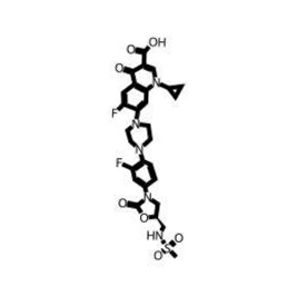 CS(=O)(=O)NC[C@@H]1CN(c2ccc(N3CCN(c4cc5c(cc4F)c(=O)c(C(=O)O)cn5C4CC4)CC3)c(F)c2)C(=O)O1